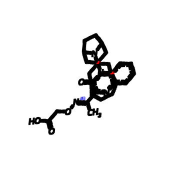 C/C(=N\OCC(=O)O)c1nc2ccccc2n(C2CC3CCC(C2)N3C2CC3CCCCC(C3)C2)c1=O